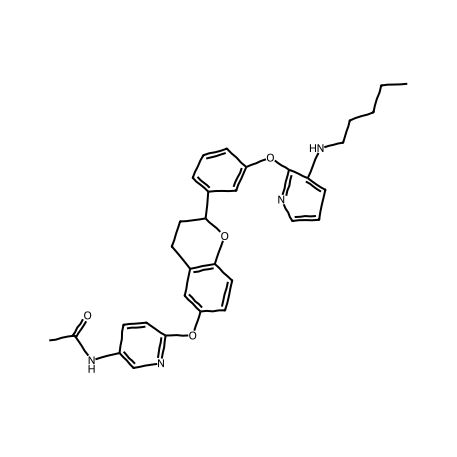 CCCCCNc1cccnc1Oc1cccc(C2CCc3cc(Oc4ccc(NC(C)=O)cn4)ccc3O2)c1